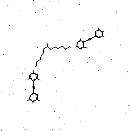 CC(CCCCCCOc1cc(F)c(C#Cc2cc(F)c(F)c(F)c2)c(F)c1)CCCCCCOc1cc(F)c(C#Cc2cc(F)c(F)c(F)c2)c(F)c1